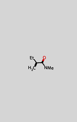 C=C(CC)C(=O)NC